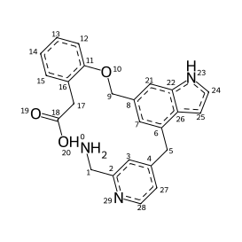 NCc1cc(Cc2cc(COc3ccccc3CC(=O)O)cc3[nH]ccc23)ccn1